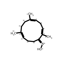 C/C1=C/C/C=C(C)\C(=N\O)CC/C=C(/C)CC1